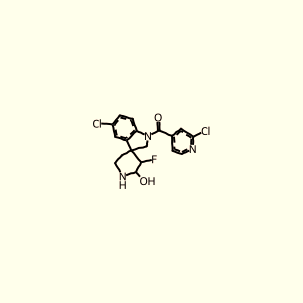 O=C(c1ccnc(Cl)c1)N1CC2(CCNC(O)C2F)c2cc(Cl)ccc21